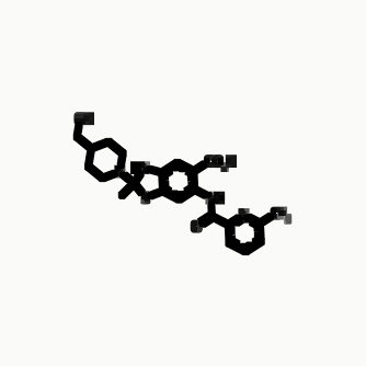 CC1(N2CCC(CO)CC2)Nc2cc(C(=O)O)c(NC(=O)c3cccc(C(F)(F)F)n3)cc2S1